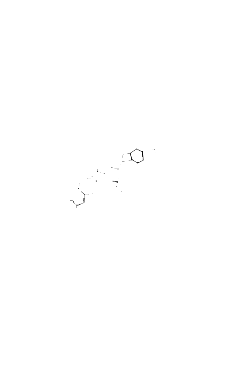 COc1cc2c(cc1OC)CCN(C(=O)CCC(OC(N)=O)C1Cc3cc(OC(C)C)ccc31)CC2